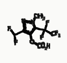 Cn1nc(C(F)F)c(OC(=O)O)c1C(F)(F)C(F)(F)F